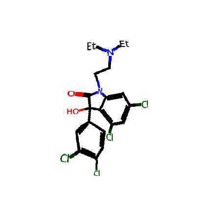 CCN(CC)CCN1C(=O)C(O)(c2ccc(Cl)c(Cl)c2)c2c(Cl)cc(Cl)cc21